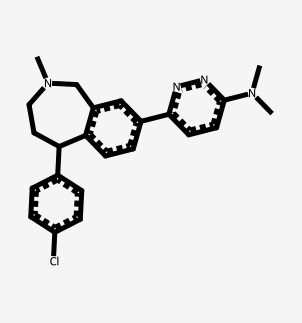 CN1CCC(c2ccc(Cl)cc2)c2ccc(-c3ccc(N(C)C)nn3)cc2C1